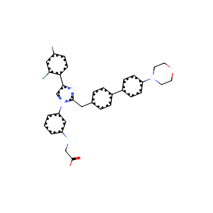 O=C(O)CNc1cccc(-n2cc(-c3ccc(Cl)cc3Cl)nc2Cc2ccc(-c3ccc(N4CCOCC4)cc3)cc2)c1